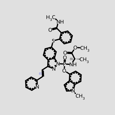 CNC(=O)c1ccccc1Sc1ccc2c(/C=C/c3ccccn3)nn(P(=O)(N[C@@H](C)C(=O)OC)Oc3cccc4c3ccn4C)c2c1